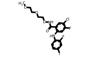 COCCOCCONC(=O)c1cc(Cl)c(F)cc1Nc1ccc(I)cc1F